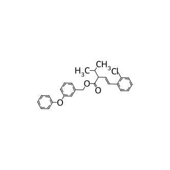 CC(C)C(C=Cc1ccccc1Cl)C(=O)OCc1cccc(Oc2ccccc2)c1